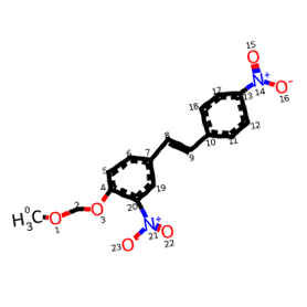 COCOc1ccc(C=Cc2ccc([N+](=O)[O-])cc2)cc1[N+](=O)[O-]